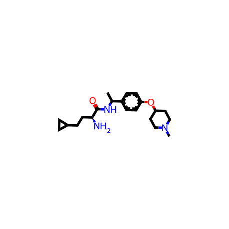 CC(NC(=O)[C@@H](N)CCC1CC1)c1ccc(OC2CCN(C)CC2)cc1